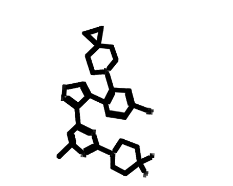 Cc1cc(-c2nscc2-c2ccc(Br)cc2N2CCC3(CC2)CC3)nc(N2CCC(F)(F)CC2)n1